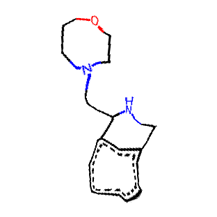 c1ccc2c(c1)CNC2CN1CCOCC1